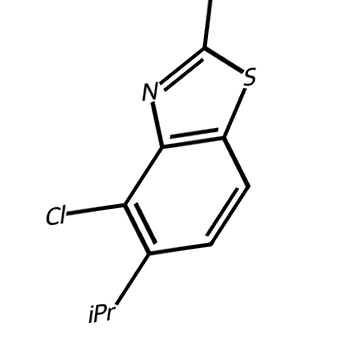 Cc1nc2c(Cl)c(C(C)C)ccc2s1